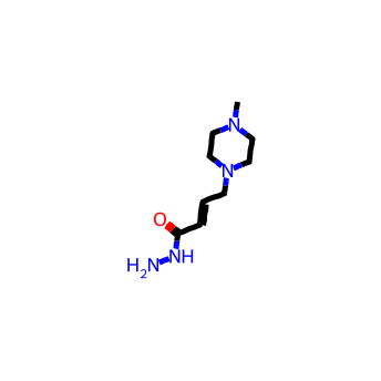 CN1CCN(C/C=C/C(=O)NN)CC1